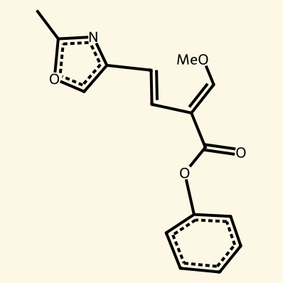 COC=C(C=Cc1coc(C)n1)C(=O)Oc1ccccc1